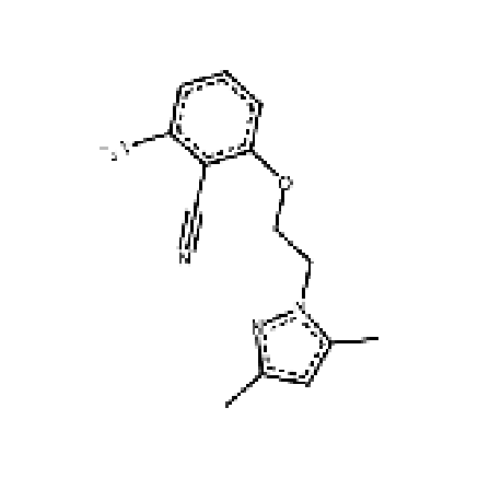 Cc1cc(C)n(CCOc2cccc(N)c2C#N)n1